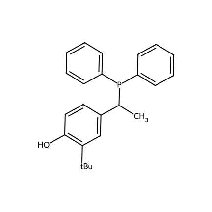 CC(c1ccc(O)c(C(C)(C)C)c1)P(c1ccccc1)c1ccccc1